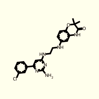 CC1(C)Oc2ccc(NCCNc3cc(-c4cccc(Cl)c4)nc(N)n3)cc2NC1=O